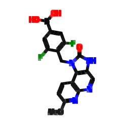 COc1ccc2c(ncc3[nH]c(=O)n(Cc4c(F)cc(B(O)O)cc4F)c32)n1